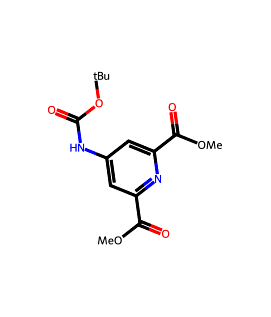 COC(=O)c1cc(NC(=O)OC(C)(C)C)cc(C(=O)OC)n1